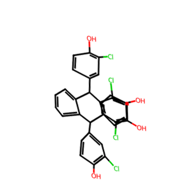 Oc1ccc(C(c2ccc(O)c(Cl)c2)c2ccccc2C(c2ccc(O)c(Cl)c2)c2ccc(O)c(Cl)c2)cc1Cl